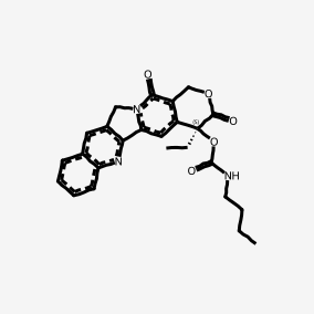 CCCCNC(=O)O[C@]1(CC)C(=O)OCc2c1cc1n(c2=O)Cc2cc3ccccc3nc2-1